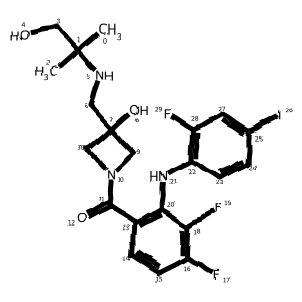 CC(C)(CO)NCC1(O)CN(C(=O)c2ccc(F)c(F)c2Nc2ccc(I)cc2F)C1